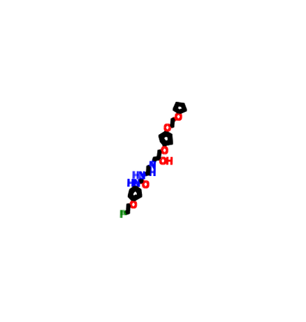 O=C(NCCNCC(O)COc1ccc(OCCOC2CCCC2)cc1)Nc1ccc(OCCF)cc1